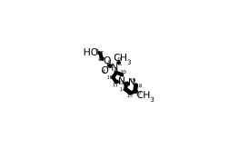 CCN(C(=O)OCCO)C1CCN(c2ccc(C)cn2)C1